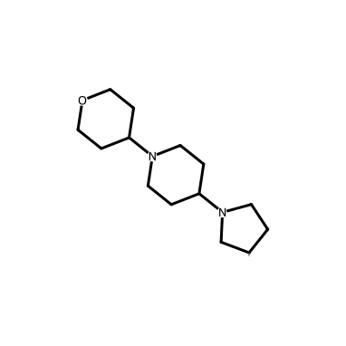 [CH]1CCN(C2CCN(C3CCOCC3)CC2)C1